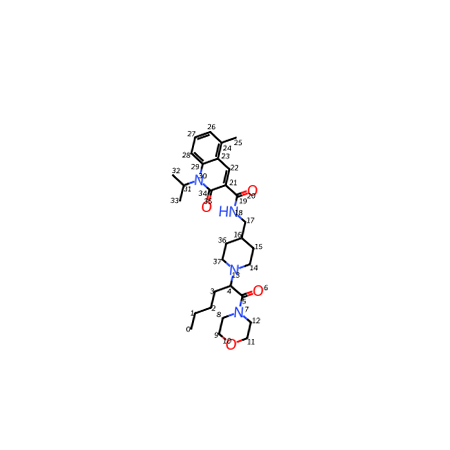 CCCCC(C(=O)N1CCOCC1)N1CCC(CNC(=O)c2cc3c(C)cccc3n(C(C)C)c2=O)CC1